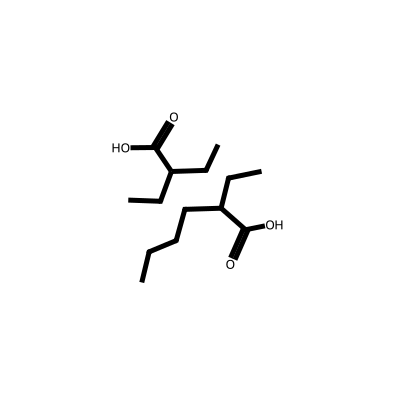 CCC(CC)C(=O)O.CCCCC(CC)C(=O)O